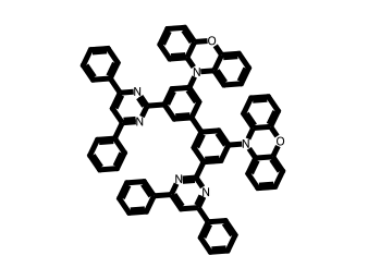 c1ccc(-c2cc(-c3ccccc3)nc(-c3cc(-c4cc(-c5nc(-c6ccccc6)cc(-c6ccccc6)n5)cc(N5c6ccccc6Oc6ccccc65)c4)cc(N4c5ccccc5Oc5ccccc54)c3)n2)cc1